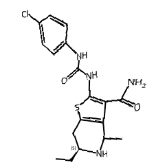 CC[C@H]1Cc2sc(NC(=O)Nc3ccc(Cl)cc3)c(C(N)=O)c2C(C)N1